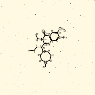 CCC[C@H](c1nc2cc(F)c(OC)cc2c(=O)n1CC)N1CCCN(C)CC1